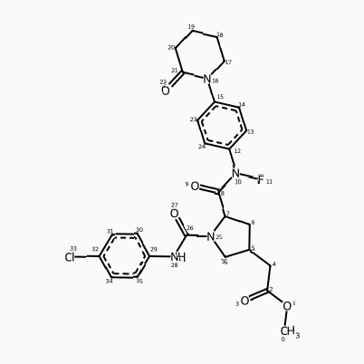 COC(=O)CC1CC(C(=O)N(F)c2ccc(N3CCCCC3=O)cc2)N(C(=O)Nc2ccc(Cl)cc2)C1